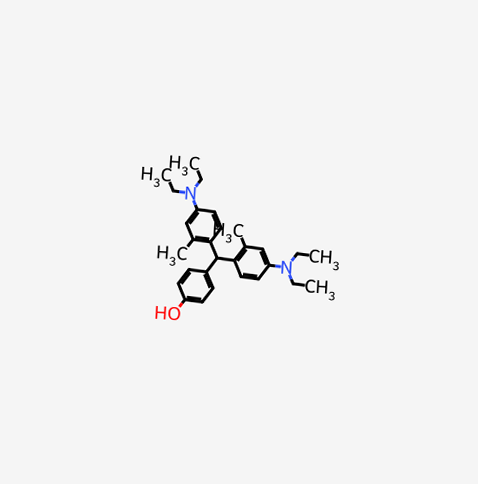 CCN(CC)c1ccc(C(c2ccc(O)cc2)c2ccc(N(CC)CC)cc2C)c(C)c1